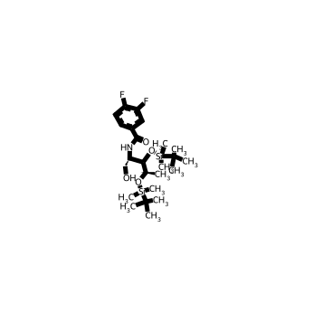 C[C@@H](O[Si](C)(C)C(C)(C)C)C(O[Si](C)(C)C(C)(C)C)[C@H](CO)NC(=O)c1ccc(F)c(F)c1